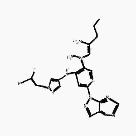 CCC/C(N)=C/N(N)c1cnc(-n2ncc3cncnc32)cc1Nc1cnn(CC(F)F)c1